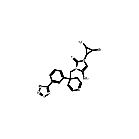 CCCCc1cn(C2C(C)C2CC)c(=O)n1CC1(c2cccc(-c3nnn[nH]3)c2)C=CN=CC1